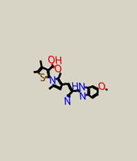 COc1ccc2nc(C(C#N)=Cc3cc(C)n(-c4sc(C)c(C)c4C(=O)O)c3C)[nH]c2c1